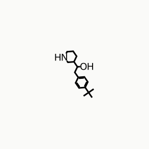 CC(C)(C)c1ccc(CC(O)C2CCCNC2)cc1